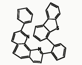 c1ccc(-c2ccc3ccc4ccc(-c5ccccc5-c5cccc6c5sc5ccccc56)nc4c3n2)cc1